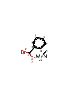 BrC(Br)c1ccccc1.CNC